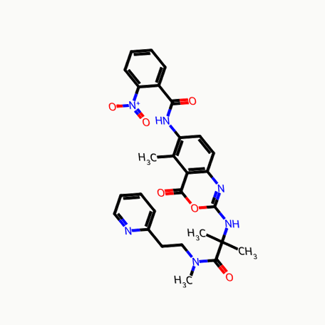 Cc1c(NC(=O)c2ccccc2[N+](=O)[O-])ccc2nc(NC(C)(C)C(=O)N(C)CCc3ccccn3)oc(=O)c12